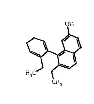 CCC1=CCCC=C1c1c(CC)ccc2ccc(O)cc12